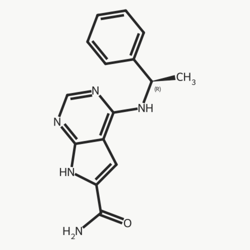 C[C@@H](Nc1ncnc2[nH]c(C(N)=O)cc12)c1ccccc1